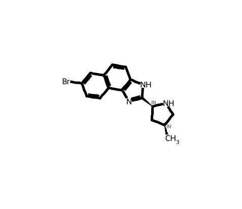 C[C@@H]1CN[C@H](c2nc3c(ccc4cc(Br)ccc43)[nH]2)C1